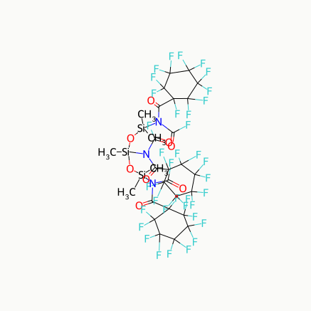 C[Si](C)(O[Si](C)(O[Si](C)(C)N(C(=O)F)C(=O)C1(F)C(F)(F)C(F)(F)C(F)(F)C(F)(F)C1(F)F)N(C(=O)F)C(=O)C1(F)C(F)(F)C(F)(F)C(F)(F)C(F)(F)C1(F)F)N(C(=O)F)C(=O)C1(F)C(F)(F)C(F)(F)C(F)(F)C(F)(F)C1(F)F